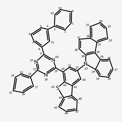 c1ccc(-c2cccc(-c3nc(-c4ccccc4)nc(-c4cc(-n5c6ccccc6c6c7ccccc7ccc65)cc5c4sc4ccccc45)n3)c2)cc1